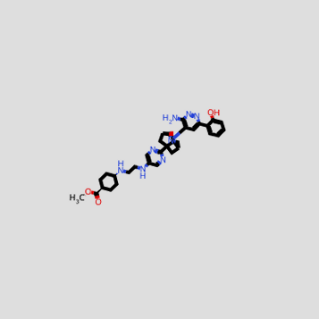 COC(=O)[C@H]1CC[C@H](NCCNc2cnc(C34CC5CC3C(CN(c3cc(-c6ccccc6O)nnc3N)C5)C4)nc2)CC1